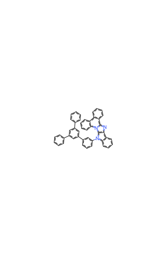 c1ccc(-c2cc(-c3ccccc3)cc(-c3cccc(-n4c5ccccc5c5nc6c7ccccc7c7ccccc7n6c54)c3)c2)cc1